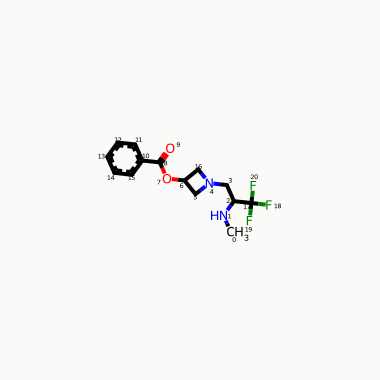 CNC(CN1CC(OC(=O)c2ccccc2)C1)C(F)(F)F